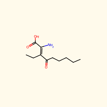 CCCCCC(=O)C(CC)=C(N)C(=O)O